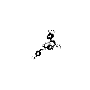 Cc1ccc([C@H]2C[C@@H](C(F)(F)F)n3ncc(C(=O)NCc4ccc(C(F)(F)F)cc4)c3N2)cc1